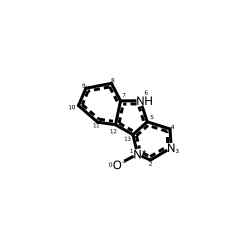 [O-][n+]1cncc2[nH]c3ccccc3c21